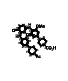 COc1cc(N2CCN(C(=O)O)CC2)ccc1Nc1ncc(Cl)c(Nc2ccc(N3CCN(C(C)=O)CC3)cc2OC)n1